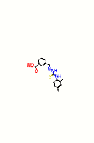 Cc1ccc(NC(=S)NN=Cc2cccc(C(=O)O)c2)c(C)c1